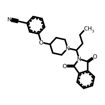 CCCC(N1CCC(Oc2cccc(C#N)c2)CC1)N1C(=O)c2ccccc2C1=O